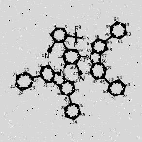 N#Cc1cccc(C(F)(F)F)c1-c1cc(-n2c3ccc(-c4ccccc4)cc3c3cc(-c4ccccc4)ccc32)c(C#N)c(-n2c3ccc(-c4ccccc4)cc3c3cc(-c4ccccc4)ccc32)c1